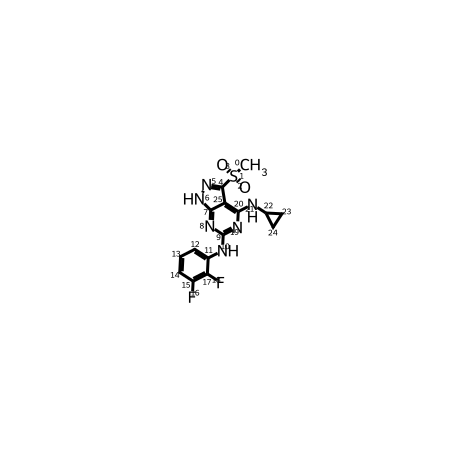 CS(=O)(=O)c1n[nH]c2nc(Nc3cccc(F)c3F)nc(NC3CC3)c12